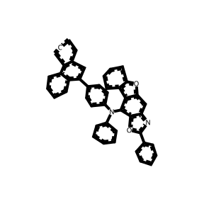 c1ccc(-c2nc3cc4oc5ccccc5c4c(N(c4ccccc4)c4ccc(-c5cc6ccccc6c6ccccc56)cc4)c3o2)cc1